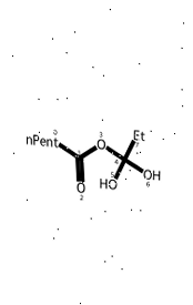 CCCCCC(=O)OC(O)(O)CC